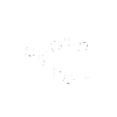 COc1cccc([C@@H](C)NC[C@@H](O)[C@H](Cc2ccccc2)NC(=O)c2cccc(C(=O)NC(C)c3ccccc3C)c2)c1